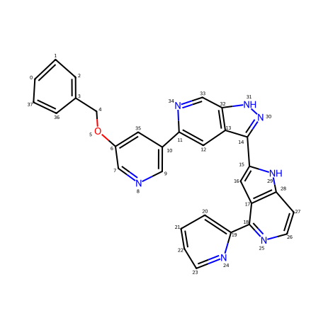 c1ccc(COc2cncc(-c3cc4c(-c5cc6c(-c7ccccn7)nccc6[nH]5)n[nH]c4cn3)c2)cc1